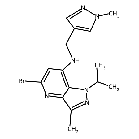 Cc1nn(C(C)C)c2c(NCc3cnn(C)c3)cc(Br)nc12